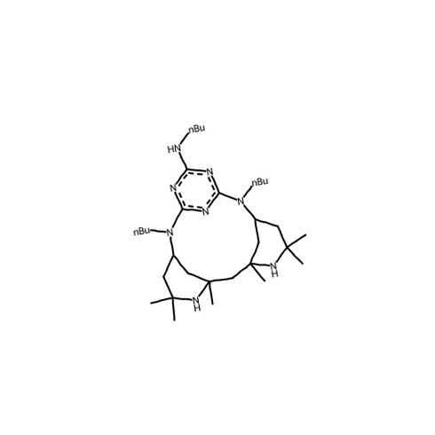 CCCCNc1nc2nc(n1)N(CCCC)C1CC(C)(C)NC(C)(C1)CC1(C)CC(CC(C)(C)N1)N2CCCC